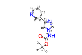 CC(C)(C)OC(=O)Nn1cnc(-c2cccnc2)c1